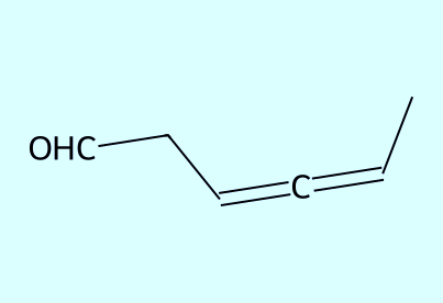 CC=C=CCC=O